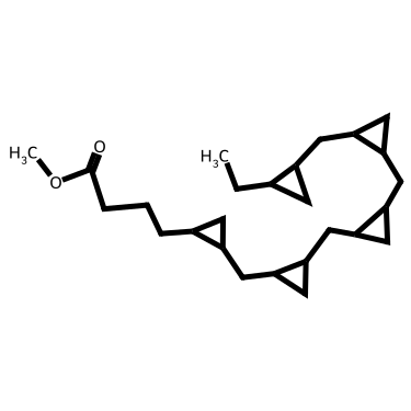 CCC1CC1CC1CC1CC1CC1CC1CC1CC1CC1CCCC(=O)OC